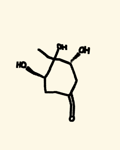 CC1(O)[C@H](O)CC(=O)C[C@H]1O